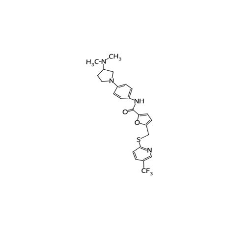 CN(C)C1CCN(c2ccc(NC(=O)c3ccc(CSc4ccc(C(F)(F)F)cn4)o3)cc2)C1